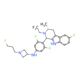 C[C@@H]1Cc2c([nH]c3ccc(F)cc23)C(c2c(F)cc(NC3CN(CCCF)C3)cc2F)N1CC(F)(F)F